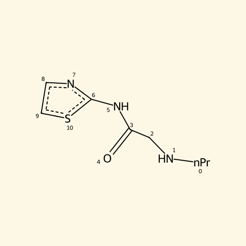 CCCNCC(=O)Nc1nccs1